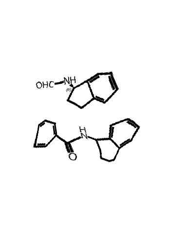 O=C(NC1CCc2ccccc21)c1ccccc1.O=CN[C@@H]1CCc2ccccc21